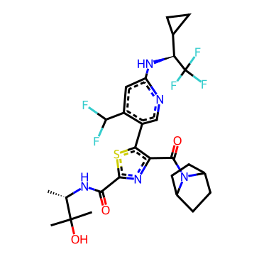 C[C@H](NC(=O)c1nc(C(=O)N2C3CCC2CC3)c(-c2cnc(N[C@@H](C3CC3)C(F)(F)F)cc2C(F)F)s1)C(C)(C)O